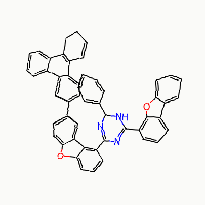 C1=Cc2c(c3ccccc3c3cc(-c4ccc5oc6cccc(C7=NC(c8ccccc8)NC(c8cccc9c8oc8ccccc89)=N7)c6c5c4)ccc23)CC1